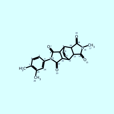 Cc1ccc(N2C(=O)C3C4C=CC(C5C(=O)N(C)C(=O)C45)C3C2=O)cc1C